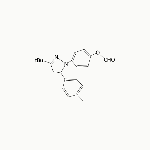 Cc1ccc(C2CC(C(C)(C)C)=NN2c2ccc(OC=O)cc2)cc1